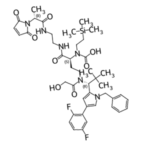 C[C@H](C(=O)NCCNC(=O)[C@H](CCN(C(=O)CO)[C@@H](c1cc(-c2cc(F)ccc2F)cn1Cc1ccccc1)C(C)(C)C)N(CC[Si](C)(C)C)C(=O)O)N1C(=O)C=CC1=O